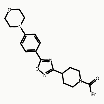 CC(C)C(=O)N1CCC(c2noc(-c3ccc(N4CCOCC4)cc3)n2)CC1